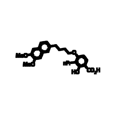 CCCc1c(OCCCCc2ccc3cc(OC)c(OC)cc3c2)ccc(C(=O)O)c1O